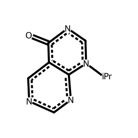 CC(C)n1cnc(=O)c2cncnc21